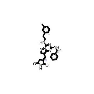 Cc1cccc(CCNc2nc(N[C@@H](C)c3ccccc3)nc3c(/C=C4\CC(=O)NC4=O)cnn23)c1